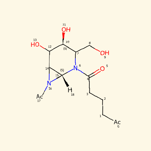 CC(=O)CCCC(=O)N1C(CO)[C@H](O)C(O)C2[C@H]1N2C(C)=O